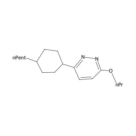 CCCCCC1CCC(c2ccc(OCCC)nn2)CC1